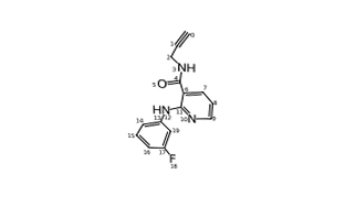 C#CCNC(=O)c1cccnc1Nc1cccc(F)c1